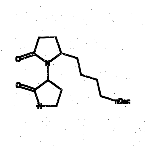 CCCCCCCCCCCCCCC1CCC(=O)N1C1CC[N]C1=O